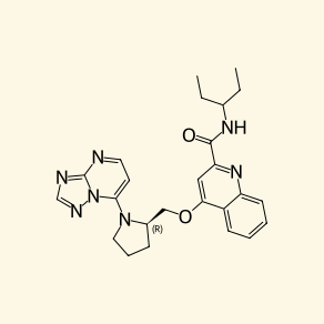 CCC(CC)NC(=O)c1cc(OC[C@H]2CCCN2c2ccnc3ncnn23)c2ccccc2n1